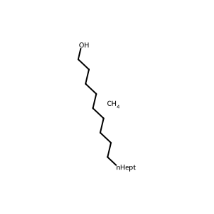 C.CCCCCCCCCCCCCCCCO